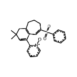 CC1(C)C=C(c2cccc[n+]2[O-])C2=C(CCCC(S(=O)(=O)c3ccccc3)=C2)C1